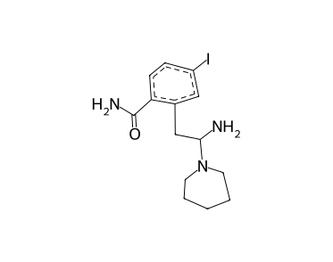 NC(=O)c1ccc(I)cc1CC(N)N1CCCCC1